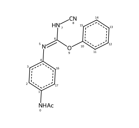 CC(=O)Nc1ccc(/N=C(/NC#N)Oc2ccccc2)cc1